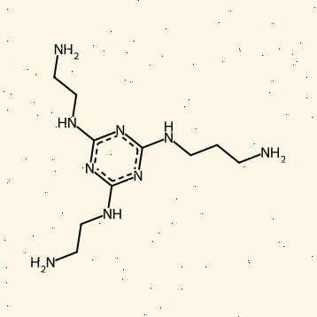 NCCCNc1nc(NCCN)nc(NCCN)n1